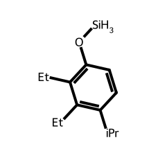 CCc1c(O[SiH3])ccc(C(C)C)c1CC